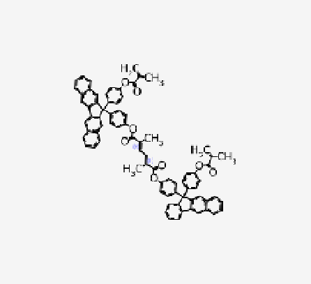 C=C(C)C(=O)Oc1ccc(C2(c3ccc(OC(=O)/C(C)=C/C=C(\C)C(=O)Oc4ccc(C5(c6ccc(OC(=O)C(=C)C)cc6)c6cc7ccccc7cc6-c6cc7ccccc7cc65)cc4)cc3)c3ccccc3-c3cc4ccccc4cc32)cc1